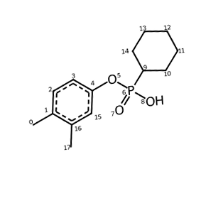 Cc1ccc(OP(=O)(O)C2CCCCC2)cc1C